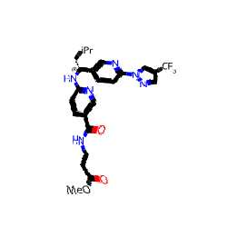 COC(=O)CCNC(=O)c1ccc(N[C@H](CC(C)C)c2ccc(-n3cc(C(F)(F)F)cn3)nc2)nc1